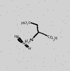 NC(CC(=O)O)C(=O)O.[N-]=[N+]=N